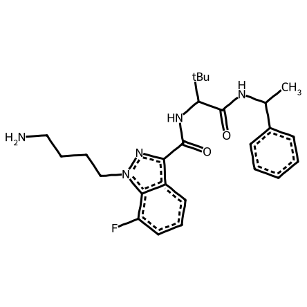 CC(NC(=O)C(NC(=O)c1nn(CCCCN)c2c(F)cccc12)C(C)(C)C)c1ccccc1